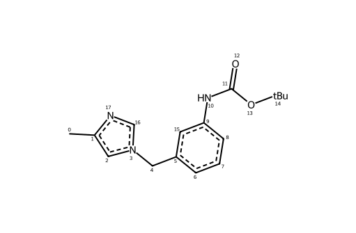 Cc1cn(Cc2cccc(NC(=O)OC(C)(C)C)c2)cn1